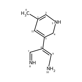 CC1=CNCC(/C(C=N)=C/N)=C1